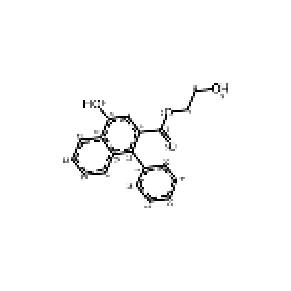 O=C(OCCO)c1cc(O)c2ccccc2c1-c1ccccc1